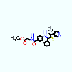 CCOC(=O)CCNC(=O)c1ccc(NC(c2sc3cnccc3c2C)C2CCCCC2)cc1